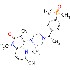 CC(c1ccc(P(C)(C)=O)cc1)N1CCN(c2c(C#N)c(=O)n(C)c3ccc(C#N)nc23)[C@@H](C)C1